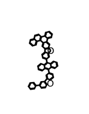 c1ccc(-c2ccc3oc4ccc(-c5c6ccccc6c(-c6ccc7c(c6)oc6cc8c9ccccc9c9ccc%10ccccc%10c9c8cc67)c6ccccc56)cc4c3c2)cc1